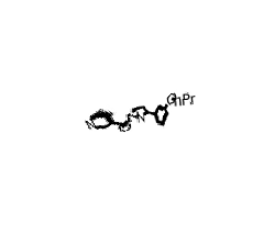 CCCOc1cccc(C2=NN(C(=O)c3cccnc3)CC2)c1